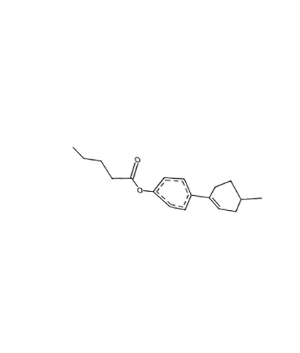 CCCCC(=O)Oc1ccc(C2=CCC(C)CC2)cc1